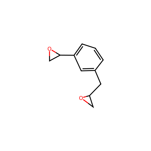 c1cc(CC2CO2)cc(C2CO2)c1